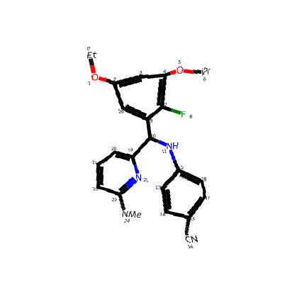 CCOc1cc(OC(C)C)c(F)c(C(Nc2ccc(C#N)cc2)c2cccc(NC)n2)c1